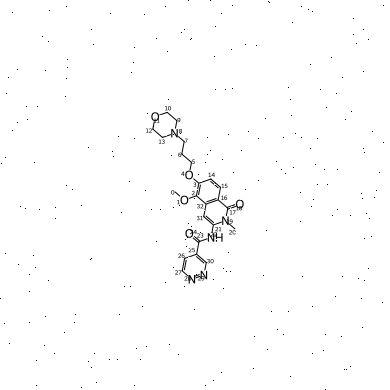 COc1c(OCCCN2CCOCC2)ccc2c(=O)n(C)c(NC(=O)c3ccnnc3)cc12